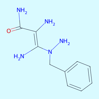 NC(=O)/C(N)=C(\N)N(N)Cc1ccccc1